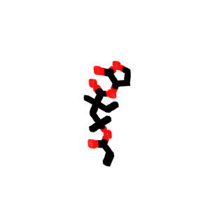 C=CC(=O)OC(C)(C)CC(C)(CC)C(=O)OC1CCOC1=O